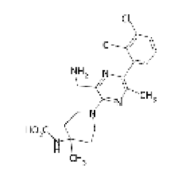 Cc1nc(N2CCC(C)(NC(=O)O)CC2)c(CN)nc1-c1cccc(Cl)c1Cl